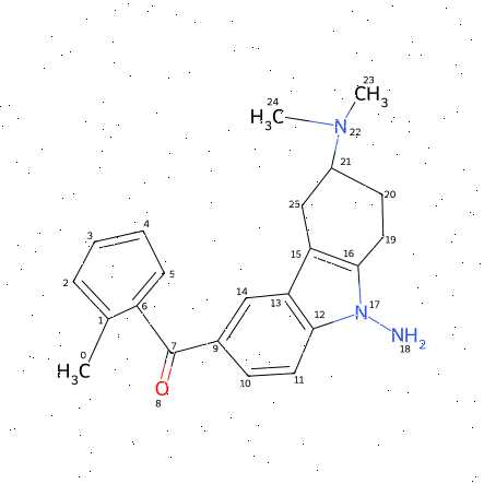 Cc1ccccc1C(=O)c1ccc2c(c1)c1c(n2N)CCC(N(C)C)C1